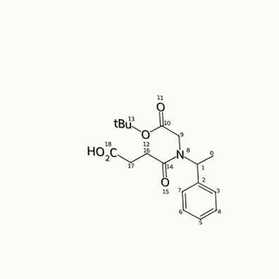 CC(c1ccccc1)N(CC(=O)OC(C)(C)C)C(=O)CCC(=O)O